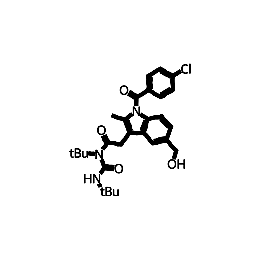 Cc1c(CC(=O)N(C(=O)NC(C)(C)C)C(C)(C)C)c2cc(CO)ccc2n1C(=O)c1ccc(Cl)cc1